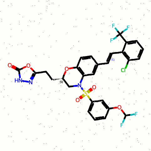 O=c1[nH]nc(CC[C@H]2CN(S(=O)(=O)c3cccc(OC(F)F)c3)c3cc(/C=C/c4c(Cl)cccc4C(F)(F)F)ccc3O2)o1